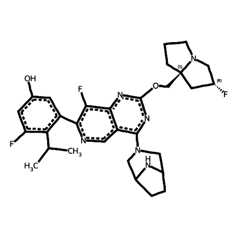 CC(C)c1c(F)cc(O)cc1-c1ncc2c(N3CC4CCC(C3)N4)nc(OC[C@@]34CCCN3C[C@H](F)C4)nc2c1F